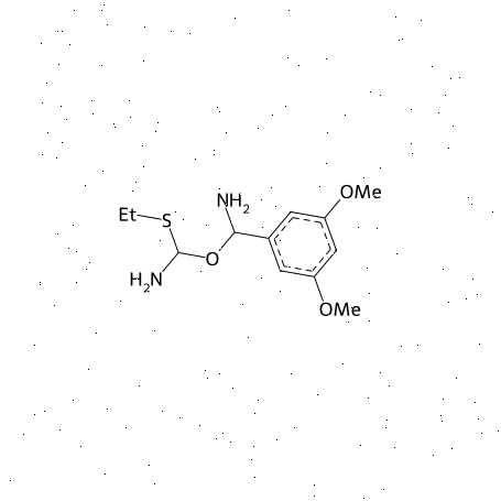 CCSC(N)OC(N)c1cc(OC)cc(OC)c1